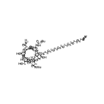 CC[C@H](C)CC(=O)NCC(=O)N[C@H]1C[S+]([O-])c2[nH]c3c(CSCCOCCOCCOCCOCCOCCOCCOCCN=[N+]=[N-])c(O)ccc3c2C[C@@H](C(=O)NCC(=O)NC)NC(=O)[C@H]([C@@H](C)[C@@H](O)CO)NC(=O)[C@@H]2C[C@@H](O)CN2C(=O)[C@H](CCC(N)=O)NC1=O